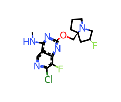 CNc1nc(OC[C@@]23CCCN2C[C@H](F)C3)nc2c(F)c(Cl)ncc12